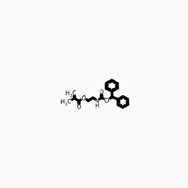 C=C(C)C(=O)OCCNC(=O)OC(c1ccccc1)c1ccccc1